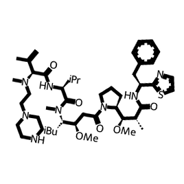 C=C(C)[C@@H](C(=O)N[C@H](C(=O)N(C)[C@@H]([C@@H](C)CC)[C@@H](CC(=O)N1CCC[C@H]1[C@H](OC)[C@@H](C)C(=O)N[C@@H](Cc1ccccc1)c1nccs1)OC)C(C)C)N(C)CCN1CCNCC1